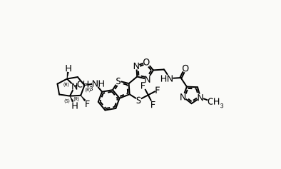 CN1[C@@H]2CC[C@H]1[C@H](F)[C@H](Nc1cccc3c(SC(F)(F)F)c(-c4noc(CNC(=O)c5cn(C)cn5)n4)sc13)C2